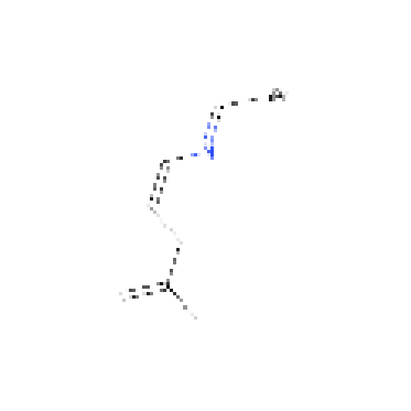 C=C(C)C/C=C\N=C\CCC